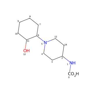 O=C(O)NC1CCN(C2CCCCC2O)CC1